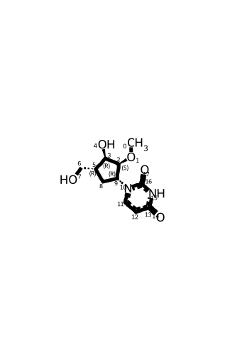 CO[C@@H]1[C@H](O)[C@@H](CO)C[C@H]1n1ccc(=O)[nH]c1=O